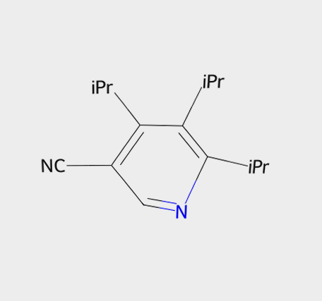 CC(C)c1ncc(C#N)c(C(C)C)c1C(C)C